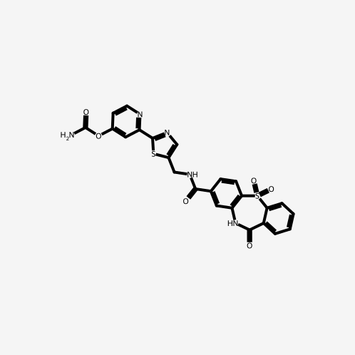 NC(=O)Oc1ccnc(-c2ncc(CNC(=O)c3ccc4c(c3)NC(=O)c3ccccc3S4(=O)=O)s2)c1